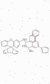 CCC(C)C(NC(Nc1ccc2c(c1)Oc1ccccc1C21C2C=CC=CC2C2C=CC=CC21)c1ccccc1)c1cc(-c2ccccc2)cc(-c2ccccc2)c1